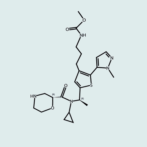 COC(=O)NCCCc1cc([C@@H](C)N(C(=O)[C@H]2CNCCO2)C2CC2)sc1-c1ccnn1C